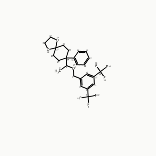 CC(OCc1cc(C(F)(F)F)cc(C(F)(F)F)c1)C1(c2ccccc2)CCC2(CC1)OCCO2